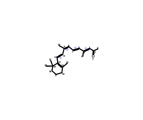 CC(=O)/C=C(C)/C=C/C=C(C)\C=C\C1=C(C)CCCC1(C)C